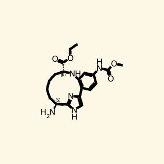 CCOC(=O)[C@H]1CCCC[C@H](N)c2nc(c[nH]2)-c2ccc(NC(=O)OC)cc2N1